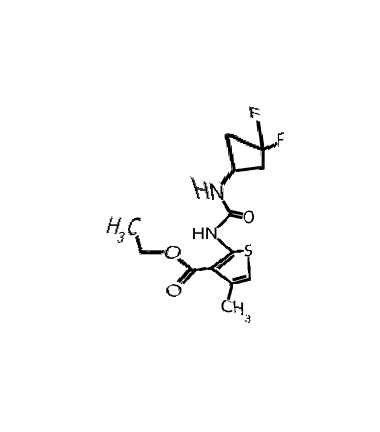 CCOC(=O)c1c(C)csc1NC(=O)NC1CC(F)(F)C1